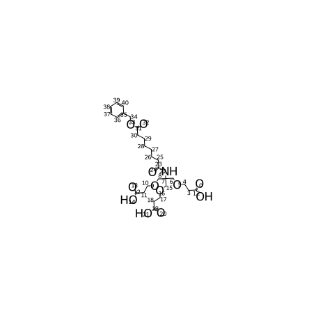 O=C(O)CCOCC(COCCC(=O)O)(COCCC(=O)O)NC(=O)CCCCCCC(=O)OCc1ccccc1